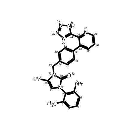 CCCc1cccc(C)c1-n1cc(CCC)n(Cc2ccc(-c3cccnc3-c3nnn[nH]3)cc2)c1=O